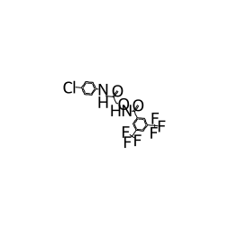 O=C(CNc1ccc(Cl)cc1)CONC(=O)c1cc(C(F)(F)F)cc(C(F)(F)F)c1